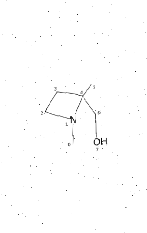 CN1CCC1(C)CO